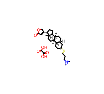 CN(C)CCCS[C@H]1CC[C@@]2(C)[C@H](CC[C@@H]3[C@@H]2CC[C@]2(C)[C@@H](C4=CC(=O)OC4)CC[C@@H]32)C1.O=C(O)C(=O)O